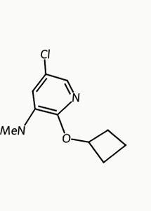 CNc1cc(Cl)cnc1OC1CCC1